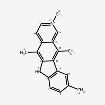 Cc1ccc2[nH]c3c(C)c4cc[n+](C)cc4c(C)c3c2c1